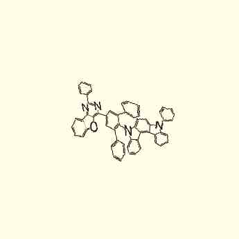 c1ccc(-c2nc(-c3cc(-c4ccccc4)c(-n4c5ccccc5c5c6c7ccccc7n(-c7ccccc7)c6ccc54)c(-c4ccccc4)c3)c3oc4ccccc4c3n2)cc1